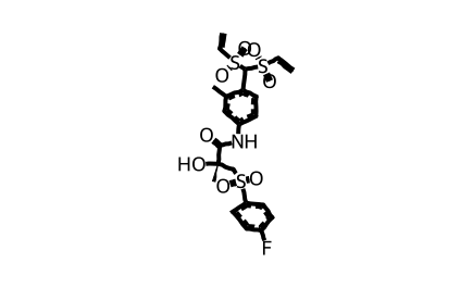 C=CS(=O)(=O)C(c1ccc(NC(=O)[C@@](C)(O)CS(=O)(=O)c2ccc(F)cc2)cc1C)S(=O)(=O)C=C